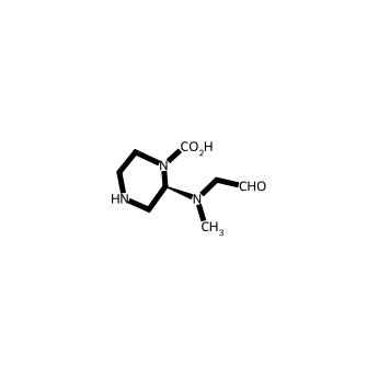 CN(CC=O)[C@H]1CNCCN1C(=O)O